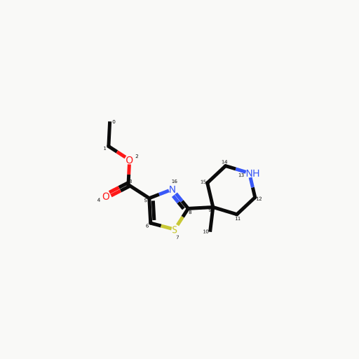 CCOC(=O)c1csc(C2(C)CCNCC2)n1